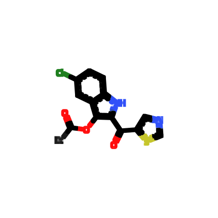 CCC(=O)Oc1c(C(=O)c2cncs2)[nH]c2ccc(Cl)cc12